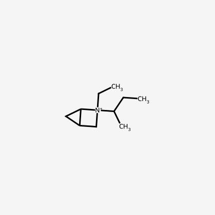 CCC(C)[N+]1(CC)CC2CC21